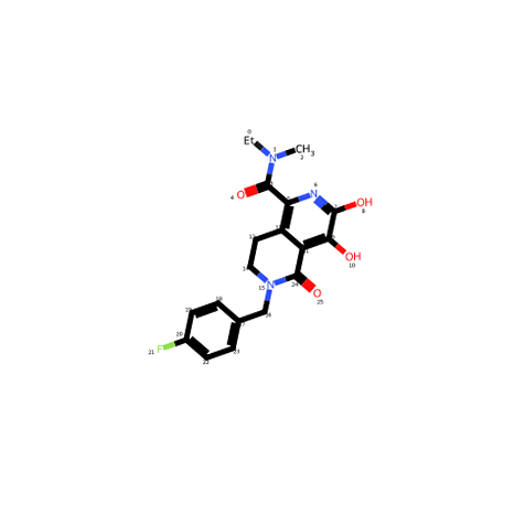 CCN(C)C(=O)c1nc(O)c(O)c2c1CCN(Cc1ccc(F)cc1)C2=O